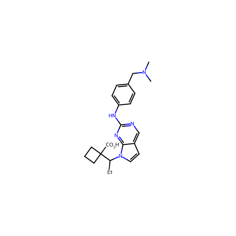 [CH2]CC(n1ccc2cnc(Nc3ccc(CN(C)C)cc3)nc21)C1(C(=O)O)CCC1